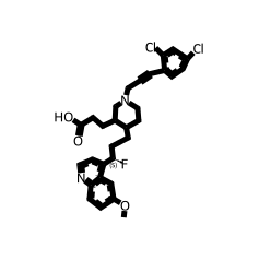 COc1ccc2nccc([C@@H](F)CCC3CCN(CC#Cc4ccc(Cl)cc4Cl)CC3CCC(=O)O)c2c1